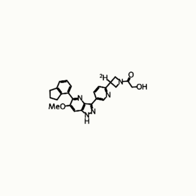 [2H]C1(c2ccc(-c3n[nH]c4cc(OC)c(-c5cccc6c5CCC6)nc34)cn2)CN(C(=O)CO)C1